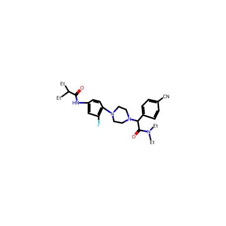 CCC(CC)C(=O)Nc1ccc(N2CCN(C(C(=O)N(CC)CC)c3ccc(C#N)cc3)CC2)c(F)c1